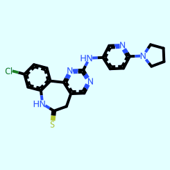 S=C1Cc2cnc(Nc3ccc(N4CCCC4)nc3)nc2-c2ccc(Cl)cc2N1